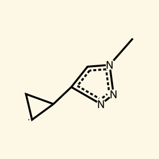 Cn1cc(C2[CH]C2)nn1